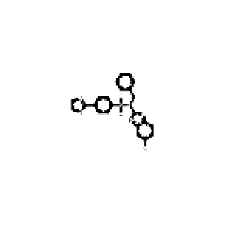 O=S(=O)(c1ccc(-c2ncco2)cc1)N(Cc1ccccc1)c1nc2cc(Cl)ccc2o1